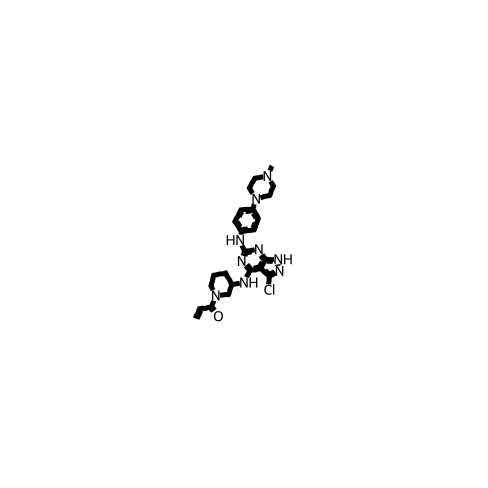 C=CC(=O)N1CCCC(Nc2nc(Nc3ccc(N4CCN(C)CC4)cc3)nc3[nH]nc(Cl)c23)C1